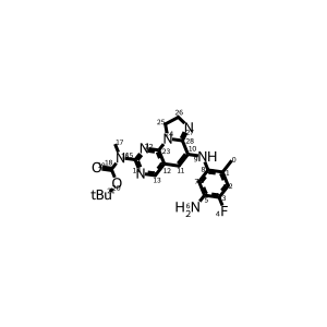 Cc1cc(F)c(N)cc1NC1=Cc2cnc(N(C)C(=O)OC(C)(C)C)nc2N2CCN=C12